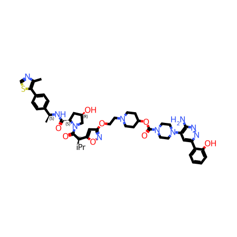 Cc1ncsc1-c1ccc([C@H](C)NC(=O)[C@@H]2C[C@@H](O)CN2C(=O)[C@@H](c2cc(OCCN3CCC(OC(=O)N4CCN(c5cc(-c6ccccc6O)nnc5N)CC4)CC3)no2)C(C)C)cc1